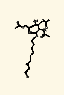 CC(=O)NC1C(SCCCCCCCCCBr)OC(COC(C)=O)C(O)C1OC(C)=O